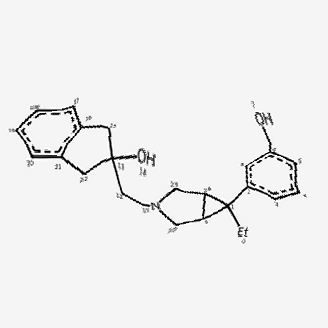 CCC1(c2cccc(O)c2)C2CN(CC3(O)Cc4ccccc4C3)CC21